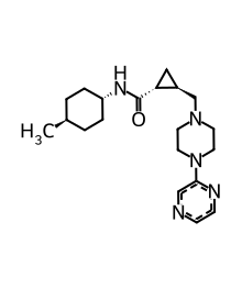 C[C@H]1CC[C@H](NC(=O)[C@@H]2C[C@H]2CN2CCN(c3cnccn3)CC2)CC1